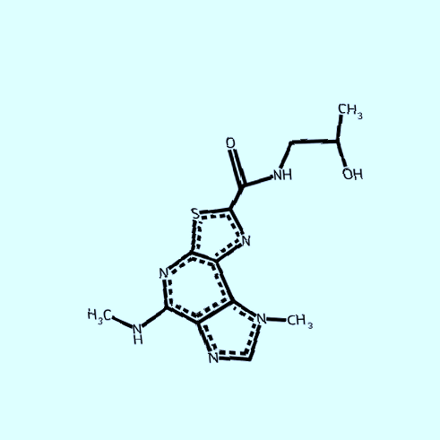 CNc1nc2sc(C(=O)NCC(C)O)nc2c2c1ncn2C